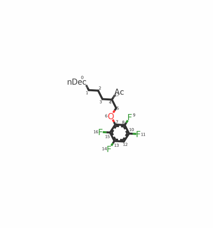 CCCCCCCCCCCCCC(COc1c(F)c(F)cc(F)c1F)C(C)=O